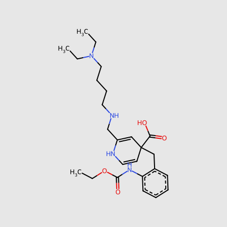 CCOC(=O)Nc1ccccc1CC1(C(=O)O)C=CNC(CNCCCCN(CC)CC)=C1